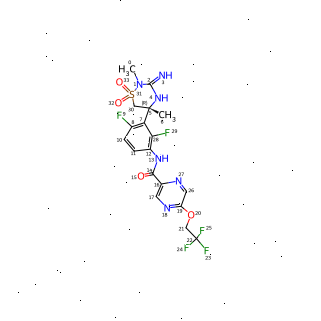 CN1C(=N)N[C@](C)(c2c(F)ccc(NC(=O)c3cnc(OCC(F)(F)F)cn3)c2F)CS1(=O)=O